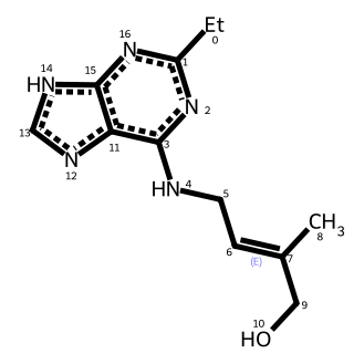 CCc1nc(NC/C=C(\C)CO)c2nc[nH]c2n1